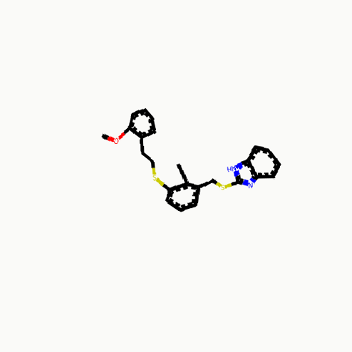 COc1ccc[c]c1CCSc1cccc(CSc2nc3ccccc3[nH]2)c1C